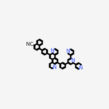 N#Cc1ccc(-c2ccc(-c3cc4c5cccnc5c(-c5cccc(-c6cc(-c7ccncc7)nc(-c7cccnc7)c6)c5)cc4c4cccnc34)cc2)c2ccccc12